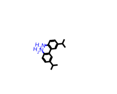 CC(C)c1ccc(N)c(-c2cc(C(C)C)ccc2N)c1